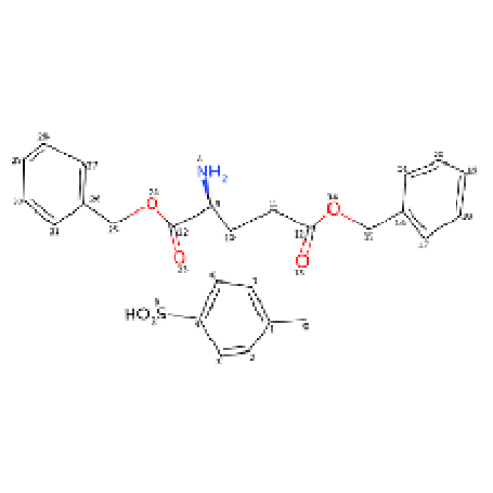 Cc1ccc(S(=O)(=O)O)cc1.N[C@@H](CCC(=O)OCc1ccccc1)C(=O)OCc1ccccc1